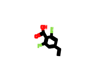 C=Cc1cc(F)c(C(=O)O)c(F)c1